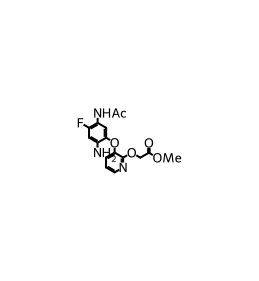 COC(=O)COc1ncccc1Oc1cc(NC(C)=O)c(F)cc1N